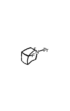 CC(C)N1CC2CC(C1)C2(F)F